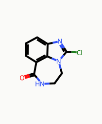 O=C1NCCn2c(Cl)nc3cccc1c32